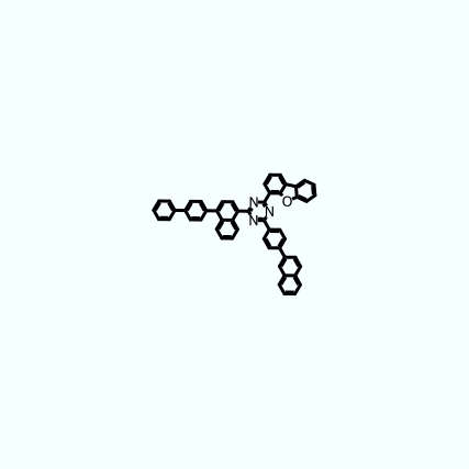 c1ccc(-c2ccc(-c3ccc(-c4nc(-c5ccc(-c6ccc7ccccc7c6)cc5)nc(-c5cccc6c5oc5ccccc56)n4)c4ccccc34)cc2)cc1